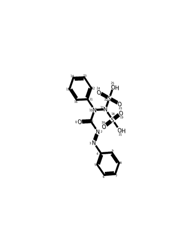 O=C(N=Nc1ccccc1)N(c1ccccc1)N(S(=O)(=O)O)S(=O)(=O)O